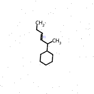 [CH2]C/C=C/C(C)C1CCCCC1